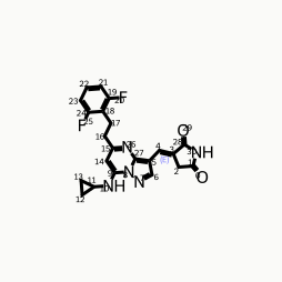 O=C1C/C(=C\c2cnn3c(NC4CC4)cc(CCc4c(F)cccc4F)nc23)C(=O)N1